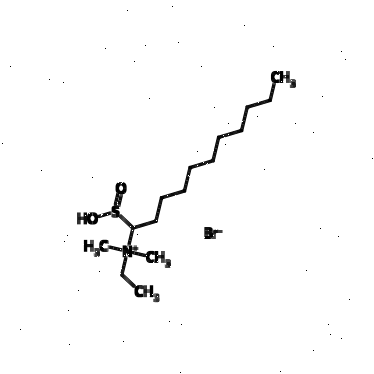 CCCCCCCCCCC(S(=O)O)[N+](C)(C)CC.[Br-]